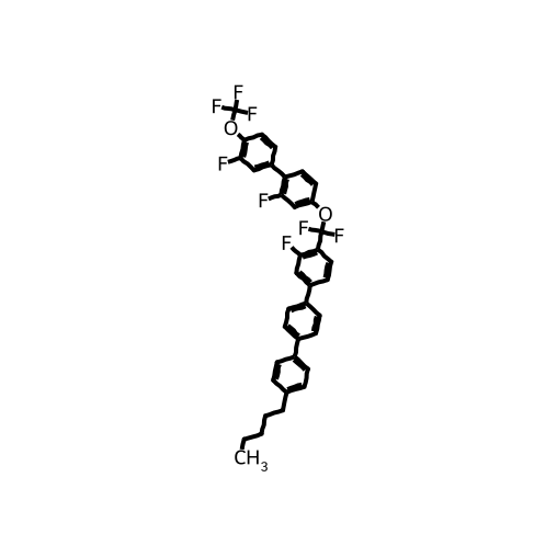 CCCCCc1ccc(-c2ccc(-c3ccc(C(F)(F)Oc4ccc(-c5ccc(OC(F)(F)F)c(F)c5)c(F)c4)c(F)c3)cc2)cc1